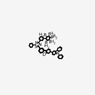 Bc1c(B)c(B)c(-c2cccc(-c3nc(-c4ccccc4)nc(-c4ccc5oc6cc(-c7ccc8c(c7)c7ccccc7n8-c7ccccc7)ccc6c5c4)n3)c2)c(B)c1B